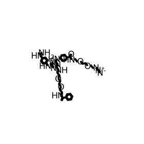 C=C(NCCOCCOCCNc1nc(NC2=CCC(C(=O)NCCOCCOCCN=[N+]=[N-])C=C2)nc(Nc2ccc(NN)cc2)n1)c1ccccc1